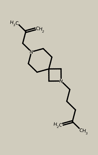 C=C(C)CCCN1CC2(CCN(CC(=C)C)CC2)C1